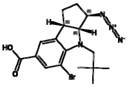 CC(C)(C)CN1c2c(Br)cc(C(=O)O)cc2[C@@H]2CC[C@@H](N=[N+]=[N-])[C@@H]21